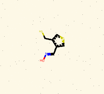 ON=Cc1cscc1CS